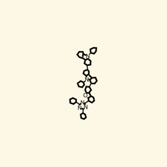 c1ccc(-c2nc(-c3ccccc3)nc(-c3cccc4c3oc3ccc(-c5cccc6c7cc(-c8ccc9c(c8)c8ccccc8n9-c8ccccc8)ccc7n(-c7ccccc7)c56)cc34)n2)cc1